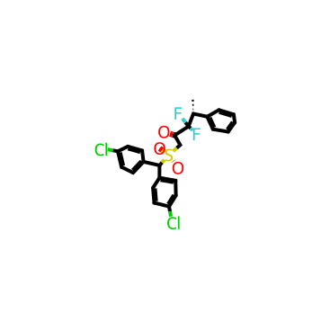 C[C@H](c1ccccc1)C(F)(F)C(=O)CS(=O)(=O)C(c1ccc(Cl)cc1)c1ccc(Cl)cc1